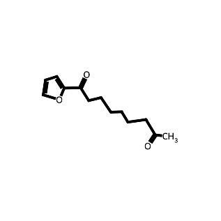 CC(=O)CCCCCCC(=O)c1ccco1